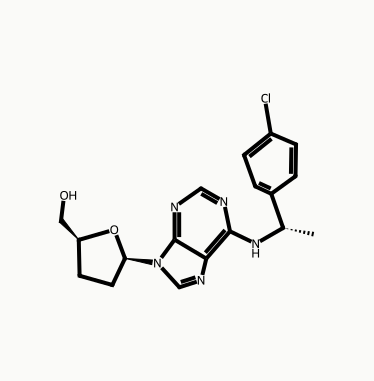 C[C@H](Nc1ncnc2c1ncn2[C@H]1CC[C@@H](CO)O1)c1ccc(Cl)cc1